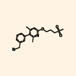 Cc1cc(OCCCS(C)(=O)=O)nc(C)c1-c1cccc(CBr)c1